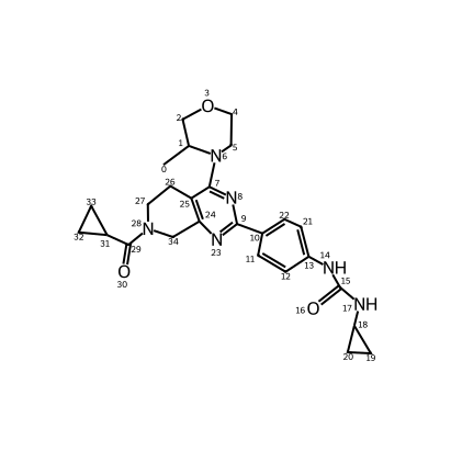 CC1COCCN1c1nc(-c2ccc(NC(=O)NC3CC3)cc2)nc2c1CCN(C(=O)C1CC1)C2